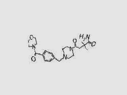 CC(C)(CC(=O)N1CCN(Cc2ccc(C(=O)N3CCOCC3)cc2)CC1)C(N)=O